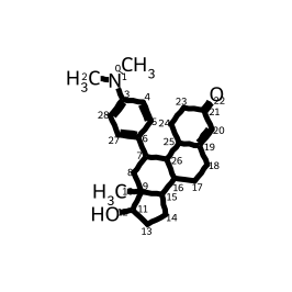 CN(C)c1ccc(C2CC3(C)C(O)CCC3C3CCC4=CC(=O)CCC4C23)cc1